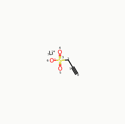 C#CCS(=O)(=O)[O-].[Li+]